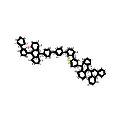 c1ccc2c(c1)cc(-c1c3ccccc3c(-c3ccc4sc5c(-c6ccc(-c7ccc(-c8c9ccccc9c(-c9cccc%10c9oc9ccccc9%10)c9ccccc89)cc7)cc6)cccc5c4c3)c3ccccc13)c1ccccc12